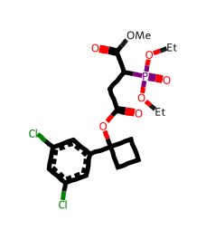 CCOP(=O)(OCC)C(CC(=O)OC1(c2cc(Cl)cc(Cl)c2)CCC1)C(=O)OC